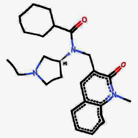 CCN1CC[C@@H](N(Cc2cc3ccccc3n(C)c2=O)C(=O)C2CCCCC2)C1